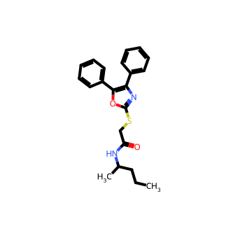 CCCC(C)NC(=O)CSc1nc(-c2ccccc2)c(-c2ccccc2)o1